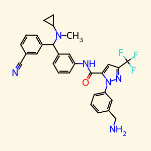 CN(C1CC1)C(c1cccc(C#N)c1)c1cccc(NC(=O)c2cc(C(F)(F)F)nn2-c2cccc(CN)c2)c1